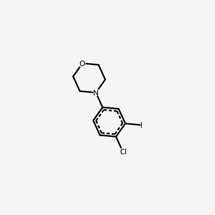 Clc1ccc(N2CCOCC2)cc1I